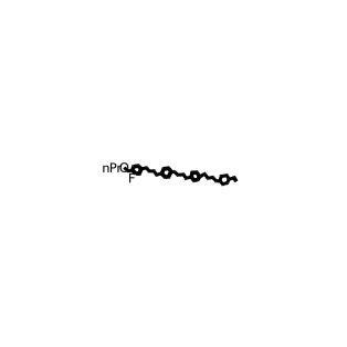 C=CC1CCC(CCCCc2ccc(CCCCc3ccc(CCCCc4ccc(COCCC)c(F)c4)cc3)cc2)CC1